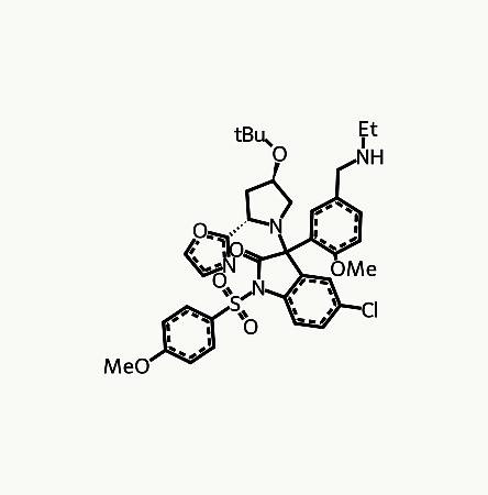 CCNCc1ccc(OC)c(C2(N3C[C@H](OC(C)(C)C)C[C@H]3c3ncco3)C(=O)N(S(=O)(=O)c3ccc(OC)cc3)c3ccc(Cl)cc32)c1